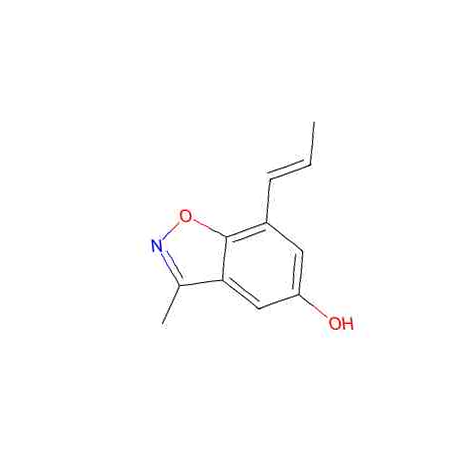 CC=Cc1cc(O)cc2c(C)noc12